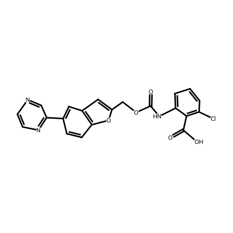 O=C(Nc1cccc(Cl)c1C(=O)O)OCc1cc2cc(-c3cnccn3)ccc2o1